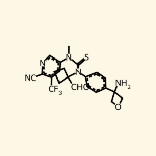 CN(C(=S)N(c1ccc(C2(N)COC2)cc1)C1(C=O)CCC1)c1cnc(C#N)c(C(F)(F)F)c1